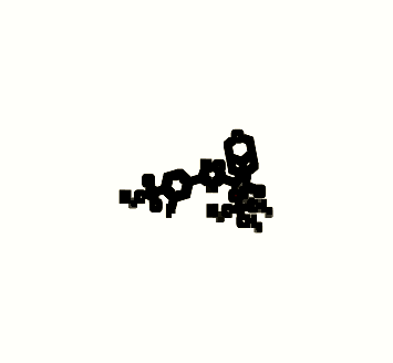 C[C@@H](OC1C2COCC1CN(C(=O)OC(C)(C)C)C2)c1nc(-c2ccc(S(C)(=O)=O)c(F)c2)no1